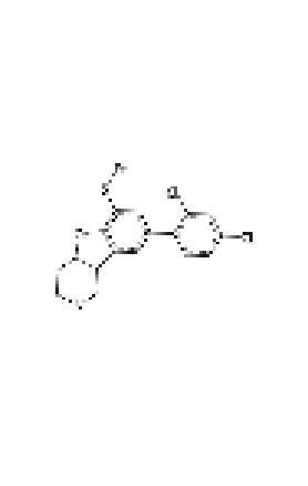 CCSc1cc(-c2ccc(Cl)cc2Cl)cc2c1OC1CCNCC21